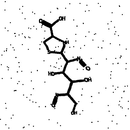 O=NC(CO)C(O)C(O)C(N=O)C1NC(C(=O)O)CS1